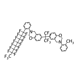 Cc1ccccc1N1COc2ccc(C(c3ccc4c(c3)CN(c3ccccc3C(F)(F)C(F)(F)C(F)(F)C(F)(F)C(F)(F)C(F)(F)C(F)(F)C(F)(F)F)CO4)(C(F)(F)F)C(F)(F)F)cc2C1